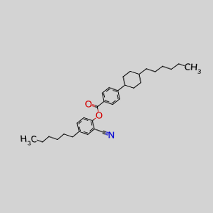 CCCCCCc1ccc(OC(=O)c2ccc(C3CCC(CCCCCC)CC3)cc2)c(C#N)c1